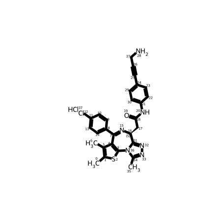 Cc1sc2c(c1C)C(c1ccc(Cl)cc1)=N[C@@H](CC(=O)Nc1ccc(C#CCN)cc1)c1nnc(C)n1-2.Cl